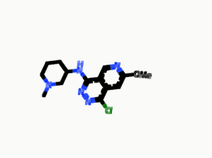 COc1cc2c(Cl)nnc(NC3CCCN(C)C3)c2cn1